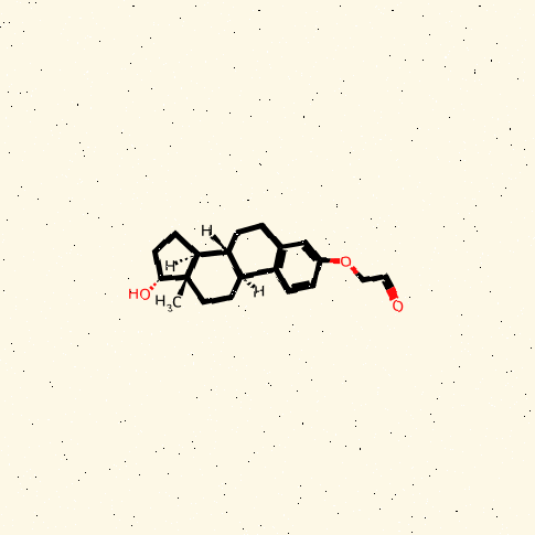 C[C@]12CC[C@@H]3c4ccc(OC[C]=O)cc4CC[C@H]3[C@@H]1CC[C@H]2O